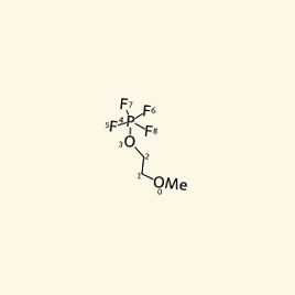 COCCOP(F)(F)(F)F